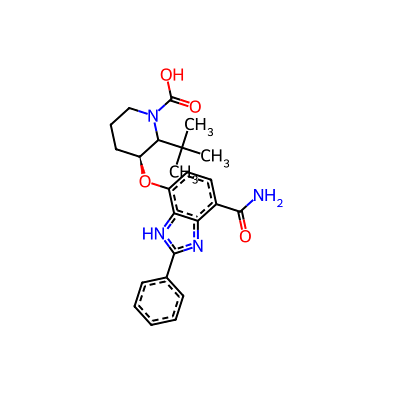 CC(C)(C)C1[C@@H](Oc2ccc(C(N)=O)c3nc(-c4ccccc4)[nH]c23)CCCN1C(=O)O